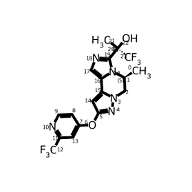 C[C@H]1Cn2nc(Oc3ccnc(C(F)(F)F)c3)cc2-c2cnc([C@@](C)(O)C(F)(F)F)n21